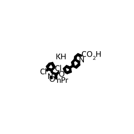 CCCc1onc(-c2c(Cl)cccc2Cl)c1COc1ccc(-c2ccc3nc(C(=O)O)ccc3c2)cc1.[KH]